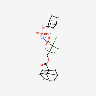 O=C(OCC(F)(F)C(F)(F)S(=O)(=O)NS(=O)(=O)OC1CC2CCC1C2)C12CC3CC(CC(C3)C1)C2